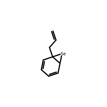 C=CCC12C=CC=CC1[Se]2